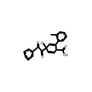 Cc1ccccc1C1=CC(Cl)(C(=O)C(=O)c2ccccc2)C=CC1C(=O)O